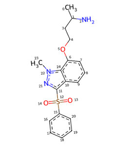 CC(N)CCOc1cccc2c(S(=O)(=O)c3ccccc3)nn(C)c12